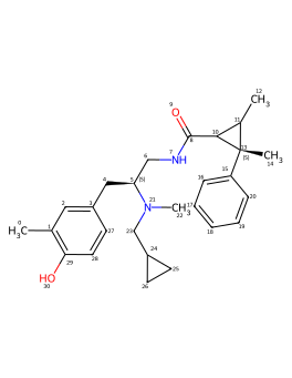 Cc1cc(C[C@@H](CNC(=O)C2C(C)[C@]2(C)c2ccccc2)N(C)CC2CC2)ccc1O